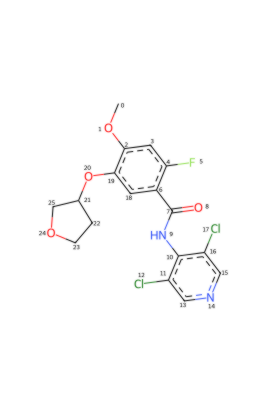 COc1cc(F)c(C(=O)Nc2c(Cl)cncc2Cl)cc1OC1CCOC1